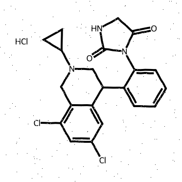 Cl.O=C1CNC(=O)N1c1ccccc1C1CN(C2CC2)Cc2c(Cl)cc(Cl)cc21